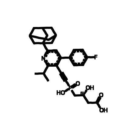 CC(C)c1nc(C23CC4CC(CC(C4)C2)C3)cc(-c2ccc(F)cc2)c1C#CP(=O)(O)C[C@@H](O)CC(=O)O